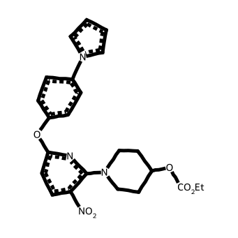 CCOC(=O)OC1CCN(c2nc(Oc3ccc(-n4cccc4)cc3)ccc2[N+](=O)[O-])CC1